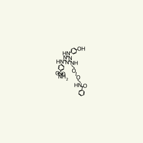 NS(=O)(=O)c1ccc(Nc2nc(NCCOCCOCCNC(=O)c3ccccc3)nc(Nc3ccc(O)cc3)n2)cc1